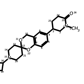 CN1CC(c2ccc3c(c2)COC2(CCN(C4CCC4)CC2)O3)CCC1=O